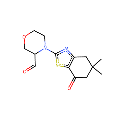 CC1(C)CC(=O)c2sc(N3CCOCC3C=O)nc2C1